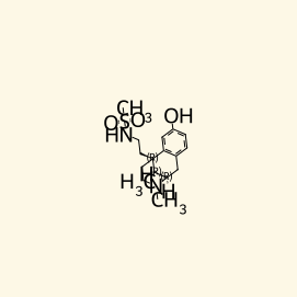 C[C@H]1[C@H]2Cc3ccc(O)cc3[C@@]1(CCNS(C)(=O)=O)CCN2C